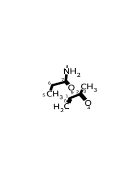 C=CC(C)=O.CCC(N)=O